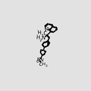 Cc1nc(-c2ccc(-c3ccc(CC(C)(N)c4cccc5cccnc45)cc3)cc2)no1